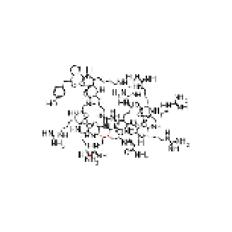 N=C(N)NCCC[C@H](NC(=O)[C@H](CCCNC(=N)N)NC(=O)[C@H](CCCNC(=N)N)NC(=O)[C@H](CCC(N)=O)NC(=O)[C@H](CCCNC(=N)N)NC(=O)[C@H](CCCNC(=N)N)NC(=O)[C@H](CCCCN)NC(=O)[C@H](CCCCN)NC(=O)[C@H](CCCNC(=N)N)NC(=O)CNC(=O)[C@H](CCCNC(=N)N)NC(=O)[C@H](CCCCN)NC(=O)[C@@H]1CCCN1C(=O)Cc1ccc(O)cc1)C(=O)O